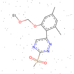 CCOCOc1cc(C)cc(C)c1-c1cnc(S(C)(=O)=O)nn1